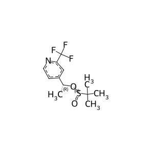 C[C@@H](O[S@@](=O)C(C)(C)C)c1ccnc(C(F)(F)F)c1